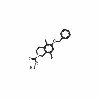 Cc1c(OCc2ccccc2)cc(F)c2c1CCN(C(=O)OC(C)(C)C)C2